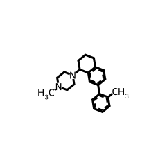 Cc1ccccc1-c1ccc2c(c1)C(N1CCN(C)CC1)CCC2